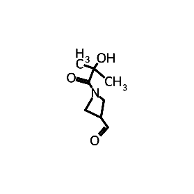 CC(C)(O)C(=O)N1CC(C=O)C1